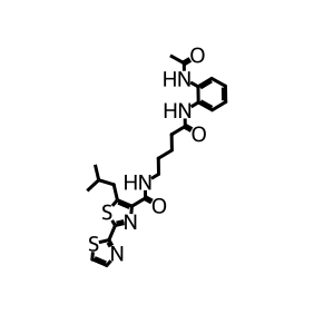 CC(=O)Nc1ccccc1NC(=O)CCCCNC(=O)c1nc(-c2nccs2)sc1CC(C)C